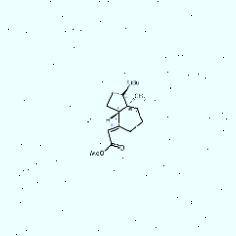 CC[C@H](C)[C@H]1CC[C@H]2/C(=C/C(=O)OC)CCC[C@]12C